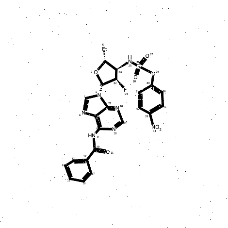 CC[C@H]1O[C@@H](n2cnc3c(NC(=O)c4ccccc4)ncnc32)[C@H](F)[C@@H]1NS(=O)(=O)Oc1ccc([N+](=O)[O-])cc1